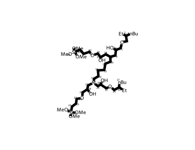 CCCCC(CC)COCC(O)CC(CCCCCCN(CC(O)COCCC[Si](OC)(OC)OC)CC(O)COCC(CC)CCCC)CC(O)COCCC[Si](OC)(OC)OC